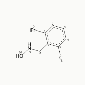 CC(C)c1cccc(Cl)c1CNO